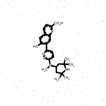 CN(c1ccc(-c2cc3nc(C(=O)O)ccc3cc2O)nn1)C1CC(C)(C)NC(C)(C)C1